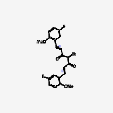 CCC(C(=O)/C=C/c1cc(F)ccc1OC)C(=O)/C=C/c1cc(F)ccc1OC